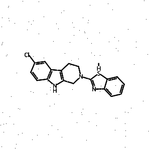 C[SH]1C(N2CCc3c([nH]c4ccc(Cl)cc34)C2)=Nc2ccccc21